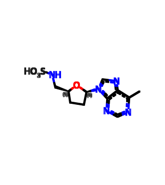 Cc1ncnc2c1ncn2[C@H]1CC[C@@H](CNS(=O)(=O)O)O1